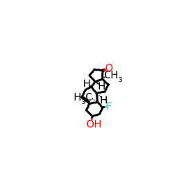 C[C@]12CC[C@@H]3[C@@H](CC=C4CC(O)CC(F)[C@@]43C)[C@@H]1CCC2=O